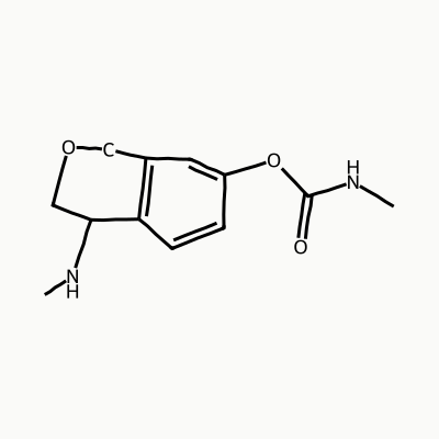 CNC(=O)Oc1ccc2c(c1)COCC2NC